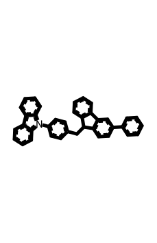 c1ccc(-c2ccc3c(c2)-c2ccccc2C3Cc2ccc(-n3c4ccccc4c4ccccc43)cc2)cc1